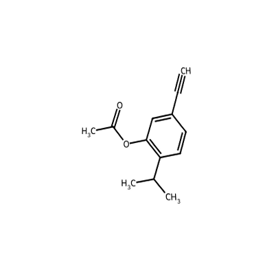 C#Cc1ccc(C(C)C)c(OC(C)=O)c1